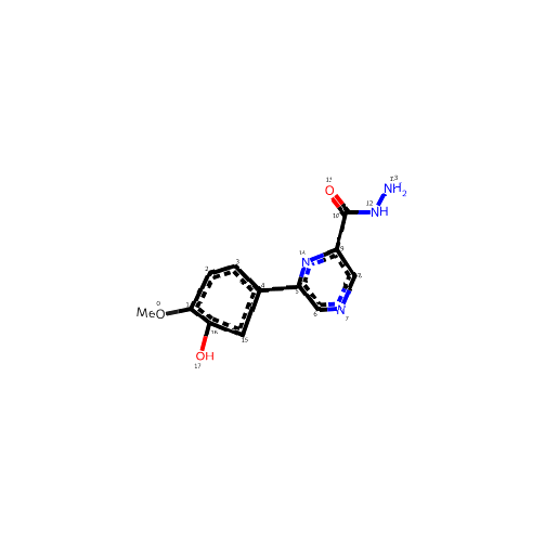 COc1ccc(-c2cncc(C(=O)NN)n2)cc1O